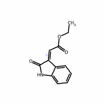 CCOC(=O)/C=C1/C(=O)Nc2ccccc21